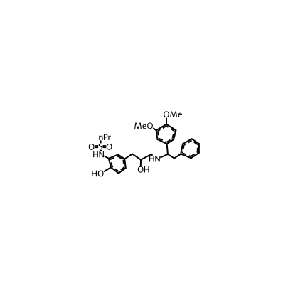 CCCS(=O)(=O)Nc1cc(CC(O)CNC(Cc2ccccc2)c2ccc(OC)c(OC)c2)ccc1O